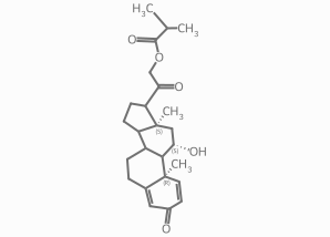 CC(C)C(=O)OCC(=O)C1CCC2C3CCC4=CC(=O)C=C[C@]4(C)C3[C@@H](O)C[C@]12C